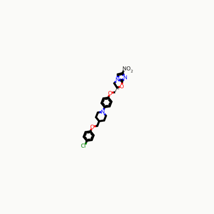 O=[N+]([O-])c1cn2c(n1)O[C@H](COc1ccc(N3CCC(COc4ccc(Cl)cc4)CC3)cc1)C2